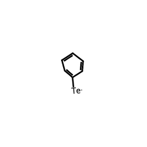 [Te]c1ccccc1